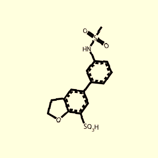 CS(=O)(=O)Nc1cccc(-c2cc3c(c(S(=O)(=O)O)c2)OCC3)c1